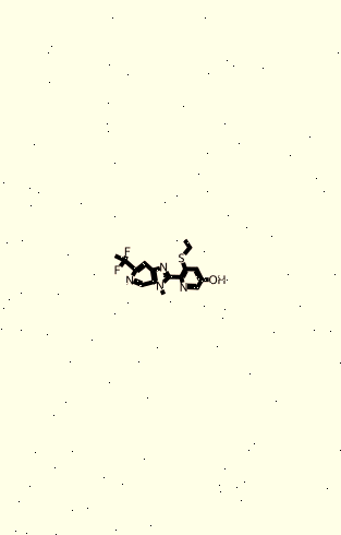 CCSc1cc(O)cnc1-c1nc2cc(C(C)(F)F)ncc2n1C